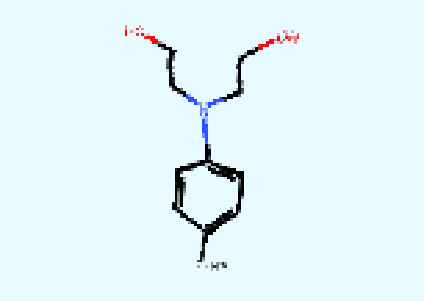 CCCCCCc1ccc(N(CCO)CCO)cc1